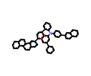 c1ccc(-c2cccc(N(c3ccc(-c4ccc5ccccc5c4)cc3)c3ccccc3-c3ccc(-c4ccc5ccc6c7ccccc7ccc6c5c4)cc3)c2)cc1